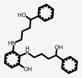 Oc1cccc(NCCCC(O)c2ccccc2)c1NCCCC(O)c1ccccc1